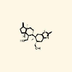 C=C1CC[C@H]2[C@H](CO)[C@@H]([C@@]3(C)Cc4sc(C)nc4C[C@@H]3CO)CC[C@]12C